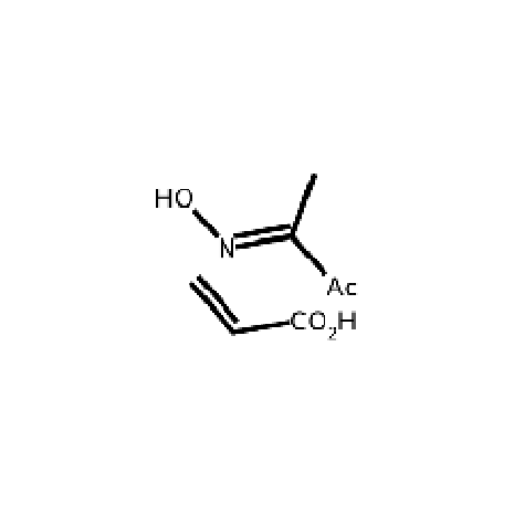 C=CC(=O)O.CC(=O)C(C)=NO